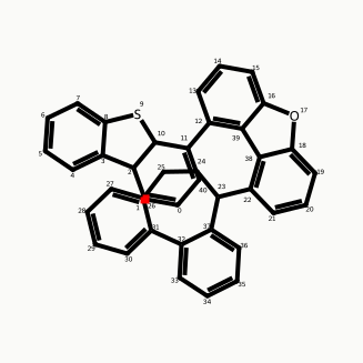 C1=CC2c3ccccc3SC2C(c2cccc3oc4cccc(C5CCc6ccccc6-c6ccccc65)c4c23)=C1